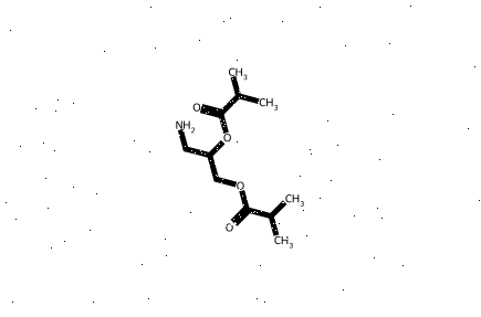 CC(C)C(=O)OCC(CN)OC(=O)C(C)C